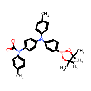 Cc1ccc(N(C(=O)O)c2ccc(N(c3ccc(C)cc3)c3ccc(B4OC(C)(C)C(C)(C)O4)cc3)cc2)cc1